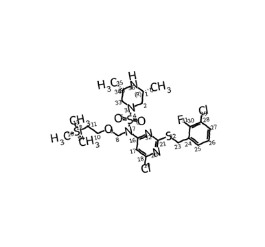 C[C@@H]1CN(S(=O)(=O)N(COCC[Si](C)(C)C)c2cc(Cl)nc(SCc3cccc(Cl)c3F)n2)C[C@H](C)N1